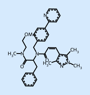 COCCN(C)C(=O)C(Cc1ccccc1)N(Cc1ccc(-c2ccccn2)cc1)C(=O)C=Cc1c(C)nn(C)c1C